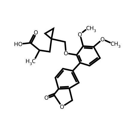 COc1ccc(-c2ccc3c(c2)COC3=O)c(OCC2(CC(C)C(=O)O)CC2)c1OC